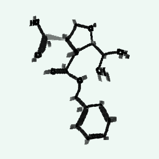 CC(C)C1OC[C@@H](C(=O)O)N1C(=O)OCc1ccccc1